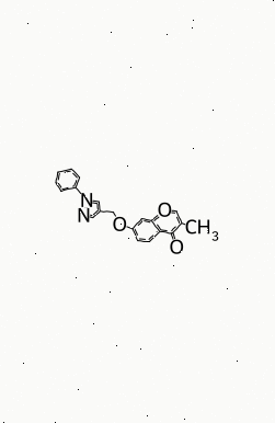 Cc1coc2cc(OCc3cnn(-c4ccccc4)c3)ccc2c1=O